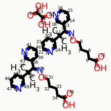 CC(C)(C(=NOCCCCC(=O)O)c1cccnc1)c1cccnc1.CC(C)(C(=NOCCCCC(=O)O)c1cccnc1)c1cccnc1.O=C(O)C(=O)O